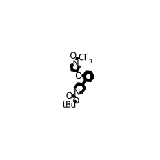 CC(C)(C)OC(=O)N1CC=C(c2ccccc2OC2CCN(C(=O)C(F)(F)F)C2)CC1